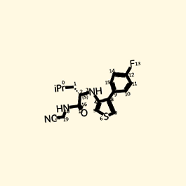 CC(C)C[C@H](Nc1cscc1-c1ccc(F)cc1)C(=O)NCC#N